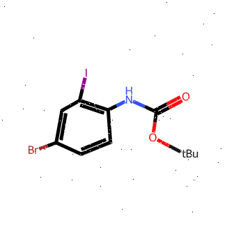 CC(C)(C)OC(=O)Nc1ccc(Br)cc1I